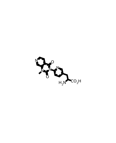 Cn1c(=O)n(-c2ccc(CC(N)C(=O)O)cn2)c(=O)c2ccncc21